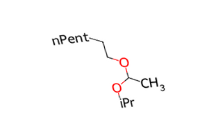 CCCCCCCOC(C)OC(C)C